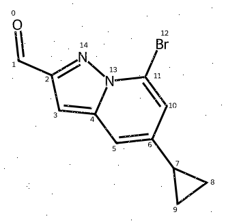 O=Cc1cc2cc(C3CC3)cc(Br)n2n1